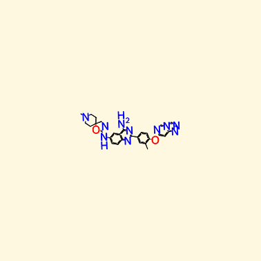 Cc1cc(-c2nc(N)c3cc(NC4=NCC5(CCN(C)CC5)O4)ccc3n2)ccc1Oc1cc2nncn2cn1